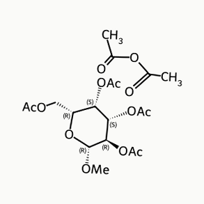 CC(=O)OC(C)=O.CO[C@@H]1O[C@H](COC(C)=O)[C@H](OC(C)=O)[C@H](OC(C)=O)[C@H]1OC(C)=O